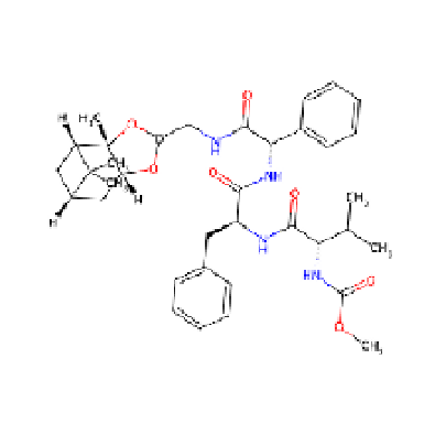 COC(=O)N[C@H](C(=O)N[C@@H](Cc1ccccc1)C(=O)N[C@H](C(=O)NCB1O[C@@H]2C[C@@H]3C[C@@H](C3(C)C)[C@]2(C)O1)c1ccccc1)C(C)C